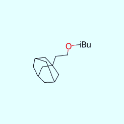 CCC(C)OCCC12CC3CC(CC(C3)C1)C2